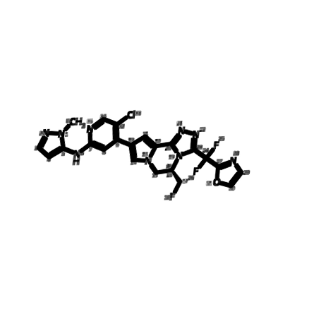 Cn1nccc1Nc1cc(-c2cc3n(c2)C[C@H](CF)n2c-3nnc2C(F)(F)c2ncco2)c(Cl)cn1